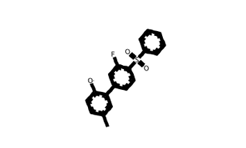 Cc1ccc([O])c(-c2ccc(S(=O)(=O)c3ccccc3)c(F)c2)c1